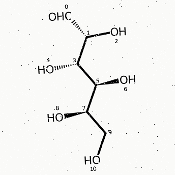 O=[13CH][C@H](O)[C@@H](O)[C@@H](O)[C@H](O)CO